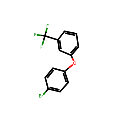 FC(F)(F)c1[c]ccc(Oc2ccc(Br)cc2)c1